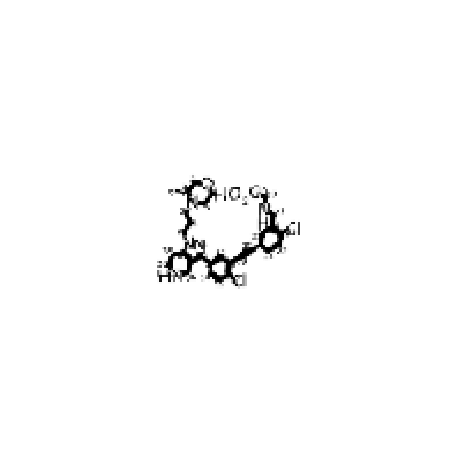 C[C@H]1COCCN1CCCn1nc(-c2ccc(Cl)c(C#Cc3ccc(Cl)c(CNCC(=O)O)c3)c2)c2c1CCNC2